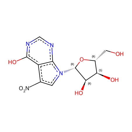 O=[N+]([O-])c1cn([C@@H]2O[C@H](CO)[C@@H](O)[C@H]2O)c2ncnc(O)c12